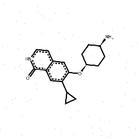 N[C@H]1CC[C@@H](Oc2cc3cc[nH]c(=O)c3cc2C2CC2)CC1